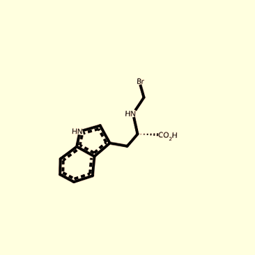 O=C(O)[C@H](Cc1c[nH]c2ccccc12)NCBr